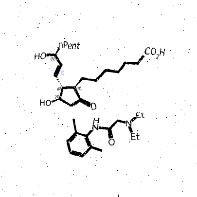 CCCCC[C@H](O)/C=C/[C@H]1[C@H](O)CC(=O)[C@@H]1CCCCCCC(=O)O.CCN(CC)CC(=O)Nc1c(C)cccc1C